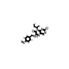 CCC(C)n1c(=O)c(NCc2ccc(SC)cc2)nc2cnc(Cl)nc21